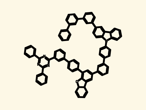 C1=CC2Oc3c(-c4ccc(-c5cccc(-c6nc(-c7ccccc7)nc(-c7ccccc7)n6)c5)cc4)cc(-c4cccc(-c5ccc(-n6c7ccccc7c7cc(-c8cccc(-c9cccc(-c%10ccccc%10)c9)c8)ccc76)cc5)c4)cc3C2C=C1